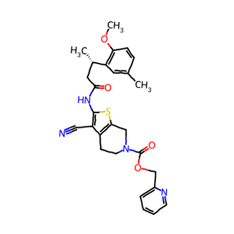 COc1ccc(C)cc1[C@@H](C)CC(=O)Nc1sc2c(c1C#N)CCN(C(=O)OCc1ccccn1)C2